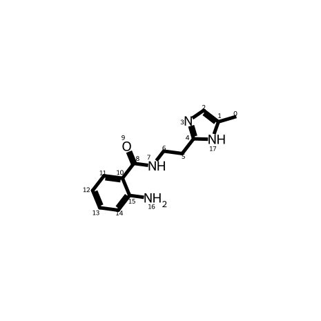 Cc1cnc(CCNC(=O)c2ccccc2N)[nH]1